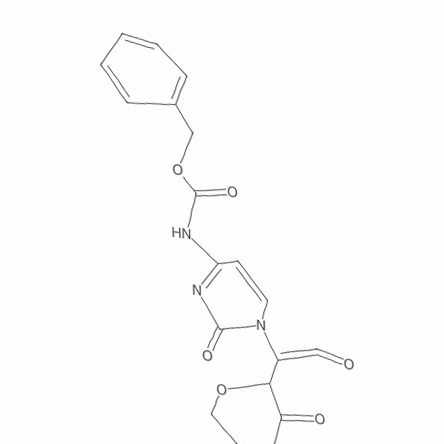 O=C=C(C1OCCNC1=O)n1ccc(NC(=O)OCc2ccccc2)nc1=O